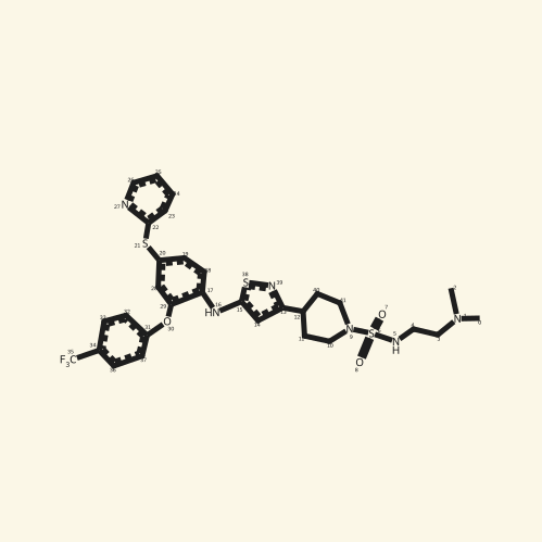 CN(C)CCNS(=O)(=O)N1CCC(c2cc(Nc3ccc(Sc4ccccn4)cc3Oc3ccc(C(F)(F)F)cc3)sn2)CC1